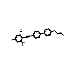 C/C=C/Cc1ccc(-c2ccc(C#Cc3c(F)cc(C)cc3F)cc2)cc1